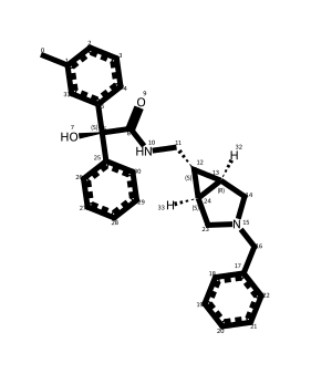 Cc1cccc([C@](O)(C(=O)NC[C@@H]2[C@H]3CN(Cc4ccccc4)C[C@@H]23)c2ccccc2)c1